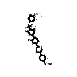 CCCCCC1CCC(C2COC(c3ccc(-c4cc(F)c(C(F)(F)Oc5ccc(OC(F)(F)F)c(F)c5)c(F)c4)c(F)c3)OC2)CC1